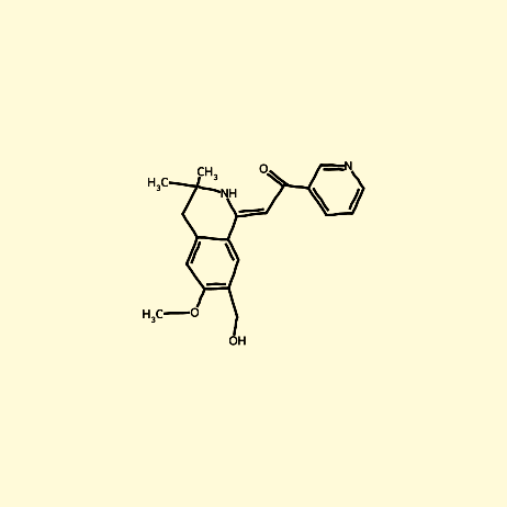 COc1cc2c(cc1CO)/C(=C/C(=O)c1cccnc1)NC(C)(C)C2